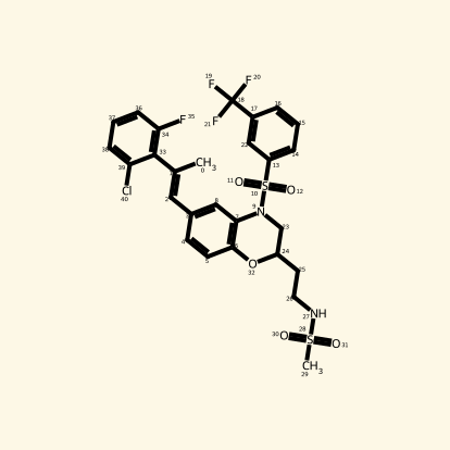 CC(=Cc1ccc2c(c1)N(S(=O)(=O)c1cccc(C(F)(F)F)c1)CC(CCNS(C)(=O)=O)O2)c1c(F)cccc1Cl